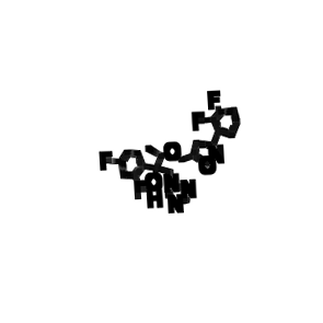 C[C@@H](OCc1cc(-c2cccc(F)c2F)no1)C(O)(Cn1cncn1)c1ccc(F)cc1F